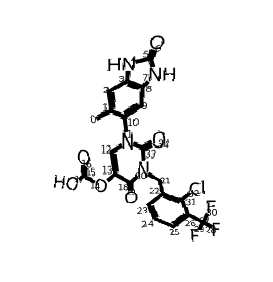 Cc1cc2[nH]c(=O)[nH]c2cc1-n1cc(OC(=O)O)c(=O)n(Cc2cccc(C(F)(F)F)c2Cl)c1=O